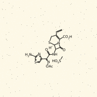 C=CC1=C(C(=O)O)N2C(=O)C(NC(=O)C(=NOC(C)=O)c3csc(N)n3)[C@H]2SC1.CS(=O)(=O)O